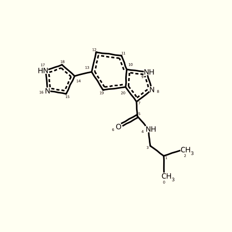 CC(C)CNC(=O)c1n[nH]c2ccc(-c3cn[nH]c3)cc12